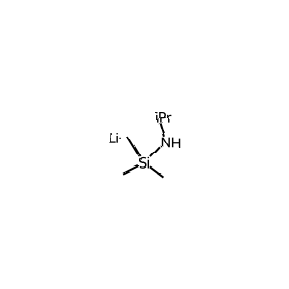 CC(C)N[Si](C)(C)C.[Li]